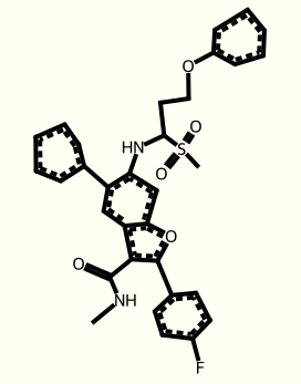 CNC(=O)c1c(-c2ccc(F)cc2)oc2cc(NC(CCOc3ccccc3)S(C)(=O)=O)c(-c3ccccc3)cc12